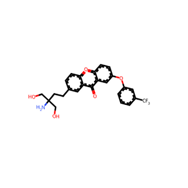 NC(CO)(CO)CCc1ccc2oc3ccc(Oc4cccc(C(F)(F)F)c4)cc3c(=O)c2c1